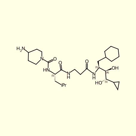 CC(C)C[C@H](NC(=O)N1CCC(N)CC1)C(=O)NCCC(=O)N[C@@H](CC1CCCCC1)[C@@H](O)[C@@H](O)C1CC1